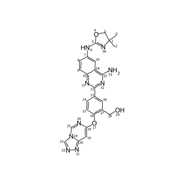 CC1(C)COC(Nc2ccc3nc(-c4ccc(Oc5cc6nncn6cn5)c(CO)c4)nc(N)c3c2)=N1